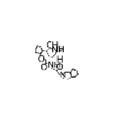 CC1NCCCC1c1ccccc1OCC(=O)NC[C@@H](O)CN1CCc2ccccc2C1